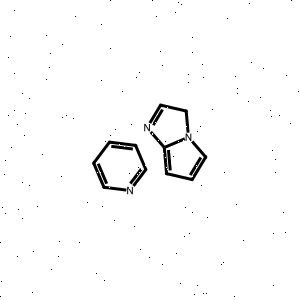 C1=Nc2cccn2C1.c1ccncc1